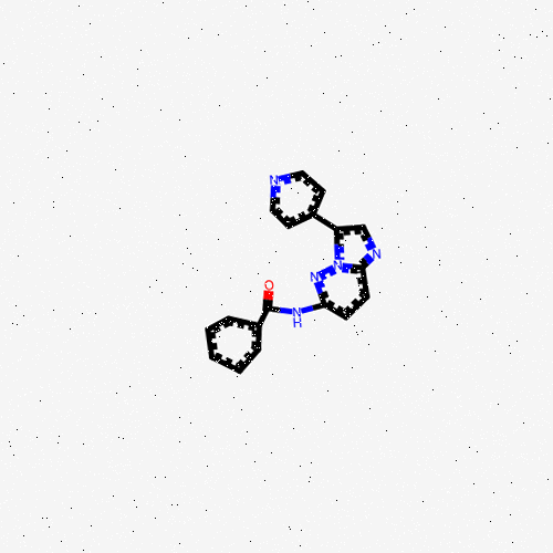 O=C(Nc1ccc2ncc(-c3ccncc3)n2n1)c1ccccc1